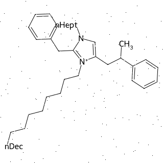 CCCCCCCCCCCCCCCCCC[n+]1c(CC(C)c2ccccc2)cn(CCCCCCC)c1Cc1ccccc1